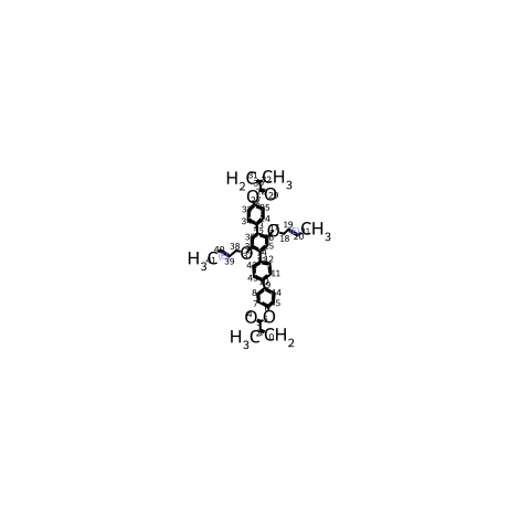 C=C(C)C(=O)Oc1ccc(-c2ccc(-c3cc(OC/C=C/C)c(-c4ccc(OC(=O)C(=C)C)cc4)cc3OC/C=C/C)cc2)cc1